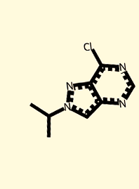 CC(C)n1cc2ncnc(Cl)c2n1